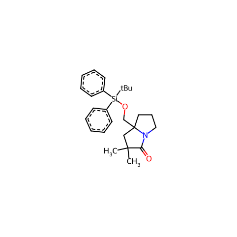 CC1(C)CC2(CO[Si](c3ccccc3)(c3ccccc3)C(C)(C)C)CCCN2C1=O